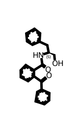 O=C(N[C@H](CO)Cc1ccccc1)c1ccccc1C(=O)c1ccccc1